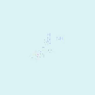 COc1nc(NS(=O)(=O)c2ccccc2Cl)c(F)cc1/C=C/c1cnc(NC2CCC(N)CC2)nc1